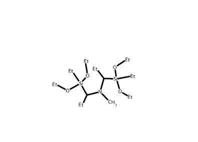 CCO[Si](CC)(OCC)C(CC)N(C)C(CC)[Si](CC)(OCC)OCC